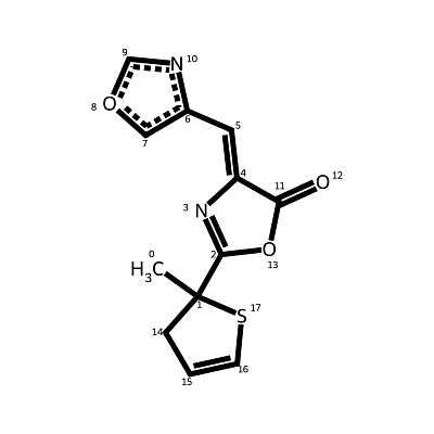 CC1(C2=N/C(=C\c3cocn3)C(=O)O2)CC=CS1